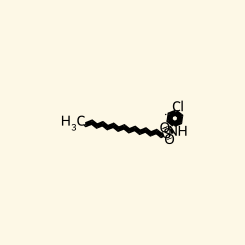 CCCCCCCCCCCCCCCCS(=O)(=O)Nc1c[c]c(Cl)cc1